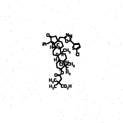 CC(C)C1=C2[C@H]3CC[C@@H]4[C@@]5(C)CC[C@H](OC(=O)CC(C)(C)C(=O)O)C(C)(C)[C@@H]5CC[C@@]4(C)[C@]3(C)CC[C@@]2(Cc2nnc(-c3ccc(Cl)s3)o2)CC1=O